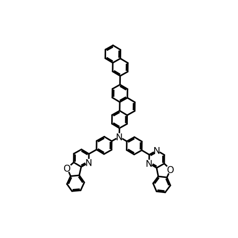 c1ccc2cc(-c3ccc4c(ccc5cc(N(c6ccc(-c7ccc8oc9ccccc9c8n7)cc6)c6ccc(-c7ncc8oc9ccccc9c8n7)cc6)ccc54)c3)ccc2c1